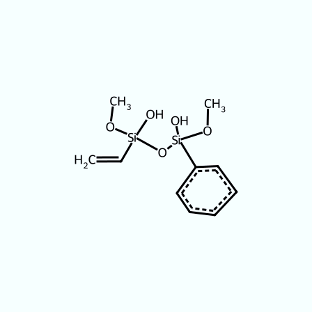 C=C[Si](O)(OC)O[Si](O)(OC)c1ccccc1